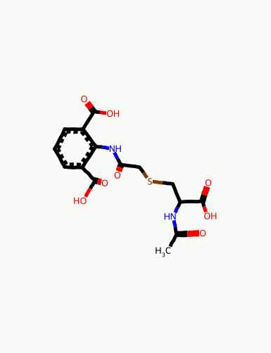 CC(=O)NC(CSCC(=O)Nc1c(C(=O)O)cccc1C(=O)O)C(=O)O